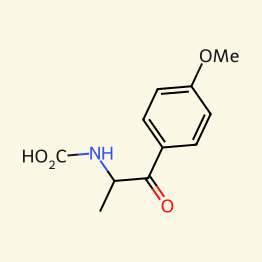 COc1ccc(C(=O)C(C)NC(=O)O)cc1